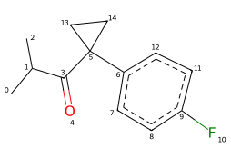 CC(C)C(=O)C1(c2ccc(F)cc2)CC1